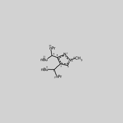 CCCCC(CCC)c1cn(C)nc1C(CCC)CCCC